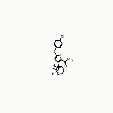 C[C@H]1[C@H](c2nc(Sc3ccc(Cl)cc3)sc2C(N)=O)C2CCN1CC2